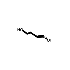 O[CH]CC=NO